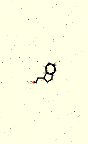 O=CCC1CCc2cc(F)ccc21